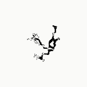 CC(=O)OCc1nc2cc(Br)c(OCC3CC3)cc2n1COCC[Si](C)(C)C